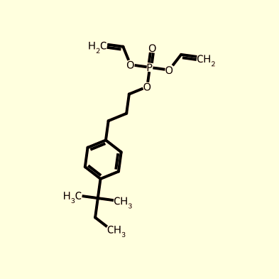 C=COP(=O)(OC=C)OCCCc1ccc(C(C)(C)CC)cc1